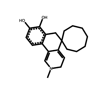 CN1C=C2C(=CC1)C1(CCCCCCC1)Cc1c2ccc(O)c1O